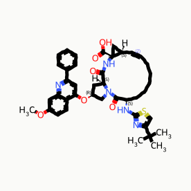 COc1ccc2c(O[C@@H]3C[C@H]4C(=O)N[C@]5(C(=O)O)C[C@H]5/C=C\CCCCC[C@H](Nc5nc(C(C)(C)C)cs5)C(=O)N4C3)cc(-c3ccccc3)nc2c1